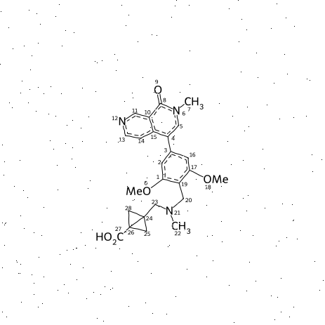 COc1cc(-c2cn(C)c(=O)c3cnccc23)cc(OC)c1CN(C)CC12CC1(C(=O)O)C2